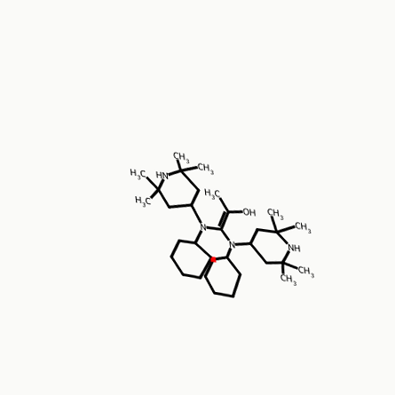 CC(O)=C(N(C1CCCCC1)C1CC(C)(C)NC(C)(C)C1)N(C1CCCCC1)C1CC(C)(C)NC(C)(C)C1